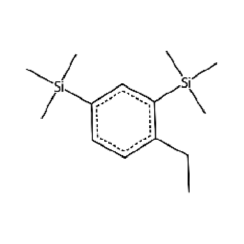 CCc1ccc([Si](C)(C)C)cc1[Si](C)(C)C